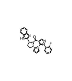 O=C(c1cnn(-c2ccccc2F)c1-n1cccc1)N1CCCC1c1nc2ccccc2[nH]1